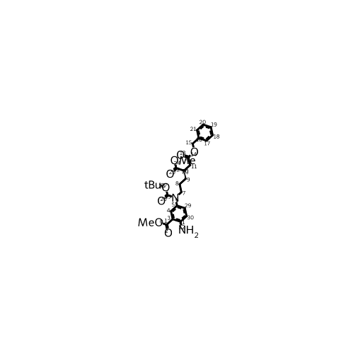 COC(=O)c1cc(N(CCC[C@H](CC(=O)OCc2ccccc2)C(=O)OC)C(=O)OC(C)(C)C)ccc1N